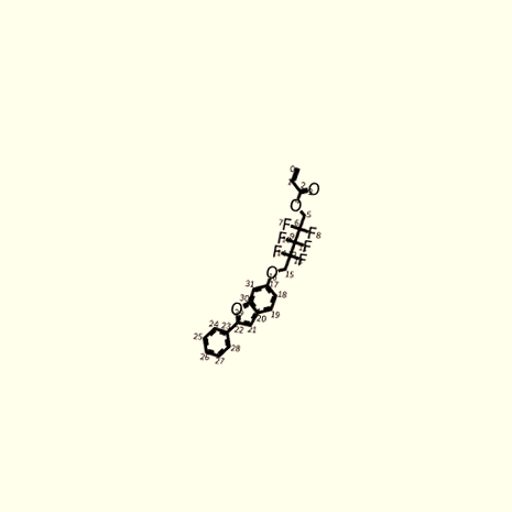 C=CC(=O)OCC(F)(F)C(F)(F)C(F)(F)COc1ccc2cc(-c3ccccc3)oc2c1